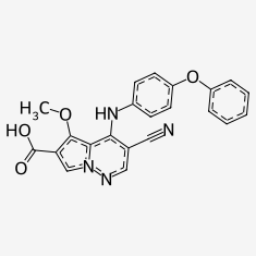 COc1c(C(=O)O)cn2ncc(C#N)c(Nc3ccc(Oc4ccccc4)cc3)c12